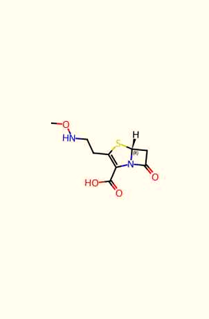 CONCCC1=C(C(=O)O)N2C(=O)C[C@H]2S1